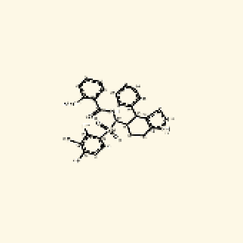 COc1ccccc1C(=O)NC(C1CCc2[nH]ncc2C1c1ccccc1)S(=O)(=O)c1ccc(F)c(F)c1F